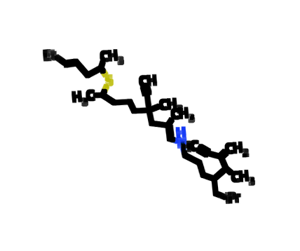 C#CC(=C)C(C)C(CCCN/C=C(\C)CC(C)(C#C)CCCC(C)SC(C)CC=CCC)CC(C)C